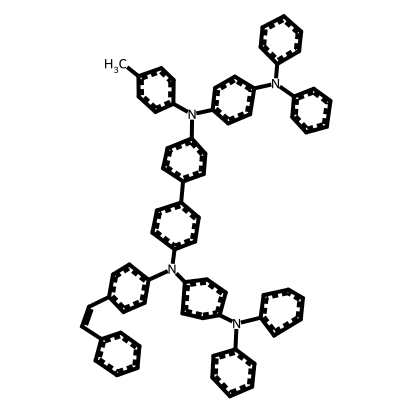 Cc1ccc(N(c2ccc(-c3ccc(N(c4ccc(/C=C\c5ccccc5)cc4)c4ccc(N(c5ccccc5)c5ccccc5)cc4)cc3)cc2)c2ccc(N(c3ccccc3)c3ccccc3)cc2)cc1